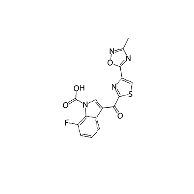 Cc1noc(-c2csc(C(=O)c3cn(C(=O)O)c4c(F)cccc34)n2)n1